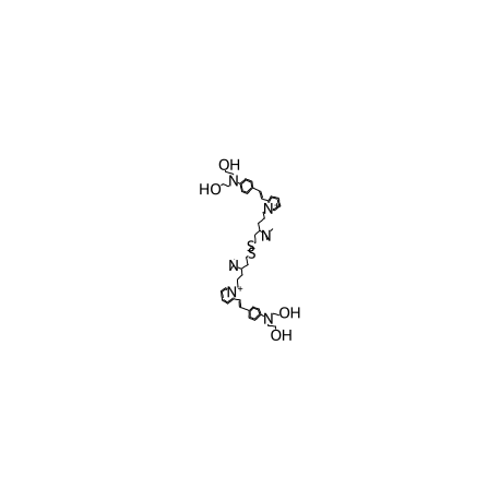 CN(C)C(CCC[n+]1ccccc1C=Cc1ccc(N(CCO)CCO)cc1)CCSSCCC(CCC[n+]1ccccc1C=Cc1ccc(N(CCO)CCO)cc1)N(C)C